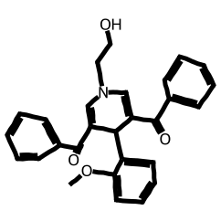 COc1ccccc1C1C(C(=O)c2ccccc2)=CN(CCO)C=C1C(=O)c1ccccc1